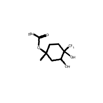 CC1(OC(=O)C(C)(C)C)CCC(O)(C(F)(F)F)C(O)C1